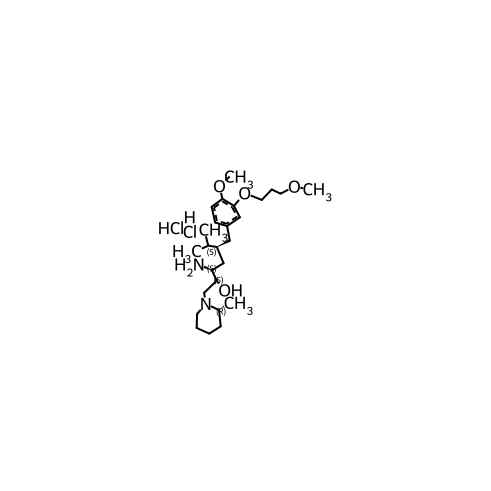 COCCCOc1cc(C[C@@H](C[C@H](N)[C@@H](O)CN2CCCC[C@H]2C)C(C)C)ccc1OC.Cl.Cl